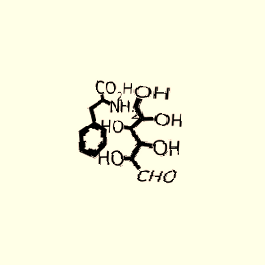 NC(Cc1ccccc1)C(=O)O.O=CC(O)C(O)C(O)C(O)CO